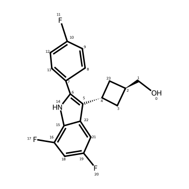 OC[C@H]1C[C@H](c2c(-c3ccc(F)cc3)[nH]c3c(F)cc(F)cc32)C1